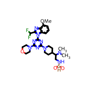 COc1cccc2c1nc(C(F)F)n2-c1nc(N2CCOCC2)nc(N2CCC(C(CN[SH](=O)=O)N(C)C)CC2)n1